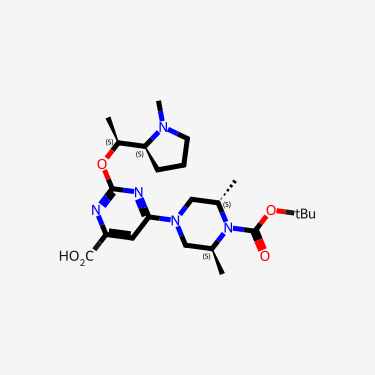 C[C@H](Oc1nc(C(=O)O)cc(N2C[C@H](C)N(C(=O)OC(C)(C)C)[C@@H](C)C2)n1)[C@@H]1CCCN1C